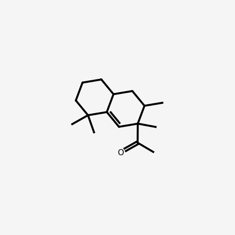 CC(=O)C1(C)C=C2C(CCCC2(C)C)CC1C